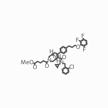 COC(=O)CCCC(=O)N1C[C@H]2CC(c3ccc(CCCOc4c(F)ccc(F)c4F)cc3)=C(C(=O)N(Cc3ccccc3Cl)C3CC3)[C@@H](C1)N2